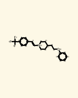 FC(F)(F)c1ccc(C=CN2CCC(CCOc3ccccc3)CC2)cc1